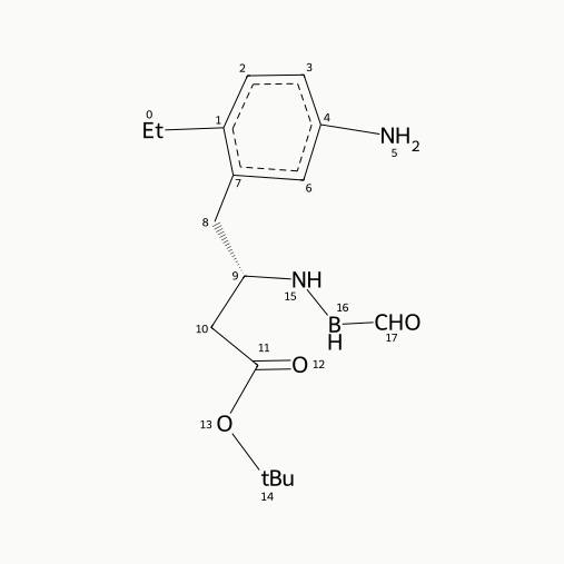 CCc1ccc(N)cc1C[C@@H](CC(=O)OC(C)(C)C)NBC=O